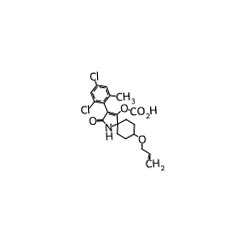 C=CCOC1CCC2(CC1)NC(=O)C(c1c(C)cc(Cl)cc1Cl)=C2OC(=O)O